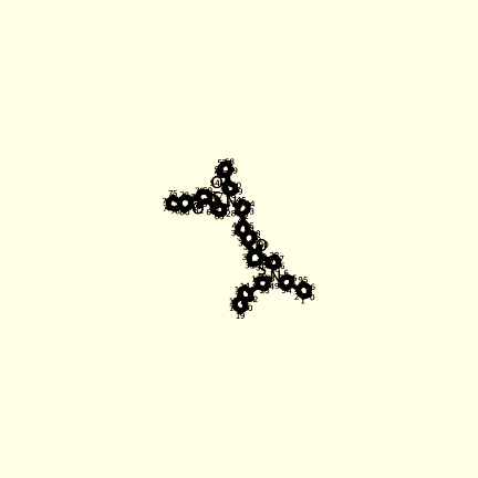 c1ccc(-c2ccc(N(c3ccc(-c4ccc5ccccc5c4)cc3)c3cccc4c3sc3ccc5c6cc7ccc(-c8cccc(N(c9ccc%10c(c9)oc9ccccc9%10)c9cccc%10c9sc9ccc%11c%12cc%13ccccc%13cc%12oc%11c9%10)c8)cc7cc6oc5c34)cc2)cc1